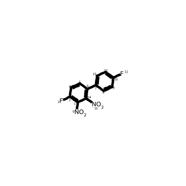 O=[N+]([O-])c1c(F)ccc(-c2ccc(F)cc2)c1[N+](=O)[O-]